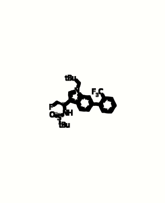 CC(C)(C)Cn1cc([C@H](CF)N[S@@+]([O-])C(C)(C)C)c2ccc(-c3ccccc3C(F)(F)F)cc21